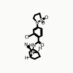 N#CN1[C@H]2CC[C@@H]1[C@H](NC(=O)c1ccc(N3CCCS3(=O)=O)cc1Cl)C2